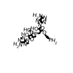 Nc1ncnc2c1ncn2C1OC(OCC#CP)C(CPCC2OC(n3cnc4c(N)ncnc43)C(O)C2OO)C1O